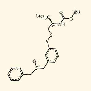 CC(C)(C)OC(=O)N[C@@H](CSSc1cccc(C[S+]([O-])Cc2ccccc2)c1)C(=O)O